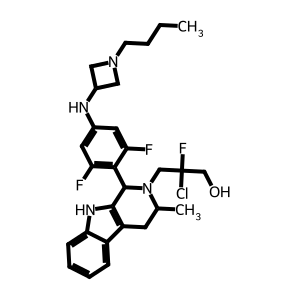 CCCCN1CC(Nc2cc(F)c(C3c4[nH]c5ccccc5c4CC(C)N3CC(F)(Cl)CO)c(F)c2)C1